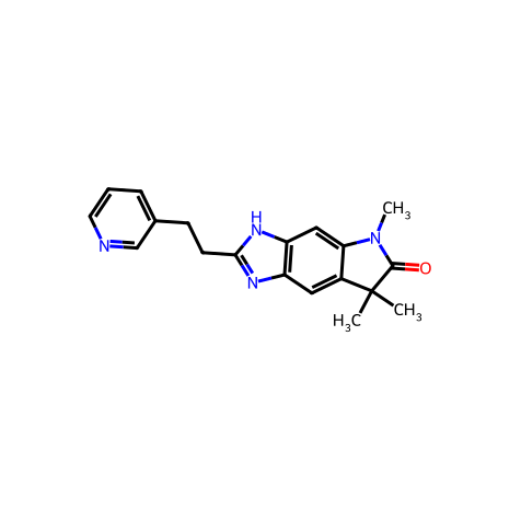 CN1C(=O)C(C)(C)c2cc3nc(CCc4cccnc4)[nH]c3cc21